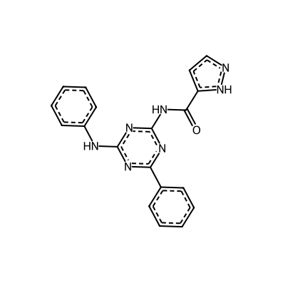 O=C(Nc1nc(Nc2ccccc2)nc(-c2ccccc2)n1)c1ccn[nH]1